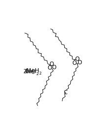 CCCCCCCCCCCCCCCCCC(=O)OC(=O)CCCCCCCCCCCCCCCCC.CCCCCCCCCCCCCCCCCC(=O)OC(=O)CCCCCCCCCCCCCCCCC.[CaH2].[MgH2].[Zn]